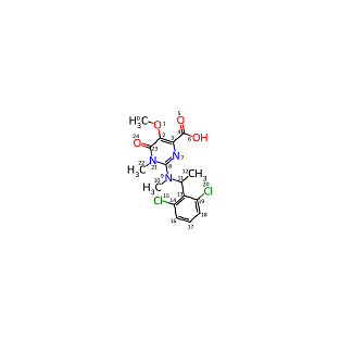 COc1c(C(=O)O)nc(N(C)C(C)c2c(Cl)cccc2Cl)n(C)c1=O